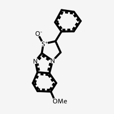 COc1ccc2nc3n(c2c1)CC(c1ccccc1)[S+]3[O-]